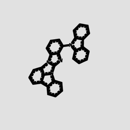 c1ccc2c(c1)c1ccccc1n2-c1cccc2c1nc1n2c2cccc3c4ccccc4n1c32